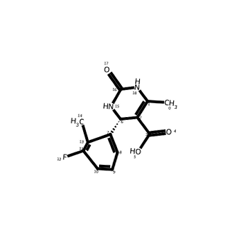 CC1=C(C(=O)O)[C@H](c2cccc(F)c2C)NC(=O)N1